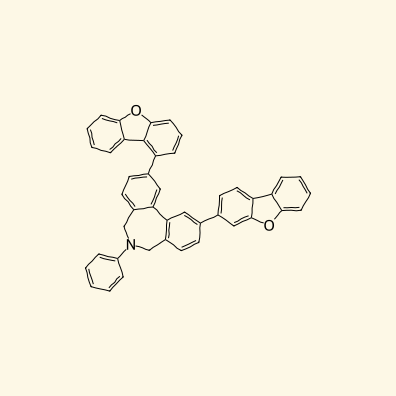 c1ccc(N2Cc3ccc(-c4ccc5c(c4)oc4ccccc45)cc3-c3cc(-c4cccc5oc6ccccc6c45)ccc3C2)cc1